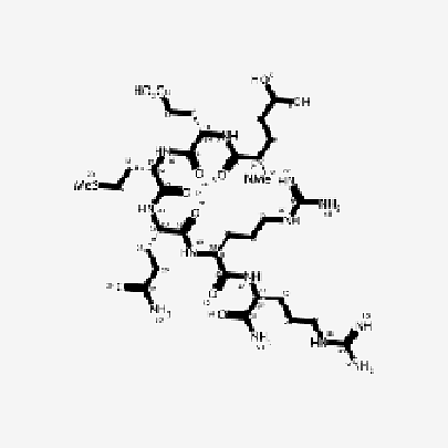 CN[C@@H](CCC(O)O)C(=O)N[C@@H](CCC(=O)O)C(=O)N[C@@H](CCSC)C(=O)N[C@@H](CCC(N)=O)C(=O)N[C@@H](CCCNC(=N)N)C(=O)N[C@@H](CCCNC(=N)N)C(N)=O